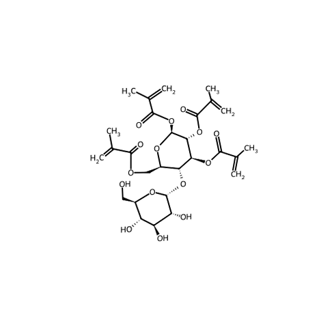 C=C(C)C(=O)OC[C@H]1O[C@@H](OC(=O)C(=C)C)[C@H](OC(=O)C(=C)C)[C@@H](OC(=O)C(=C)C)[C@@H]1O[C@H]1O[C@H](CO)[C@@H](O)[C@H](O)[C@H]1O